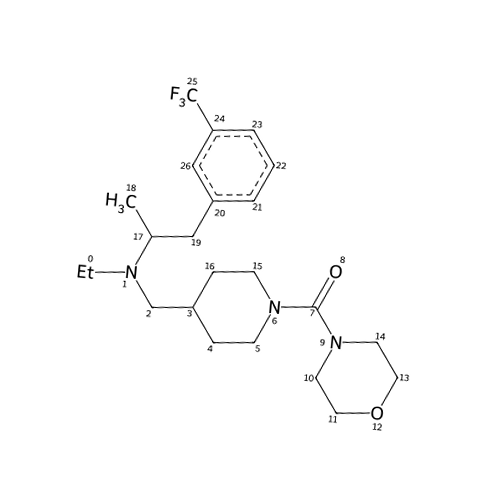 CCN(CC1CCN(C(=O)N2CCOCC2)CC1)C(C)Cc1cccc(C(F)(F)F)c1